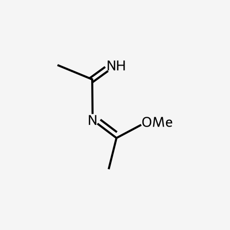 CO/C(C)=N\C(C)=N